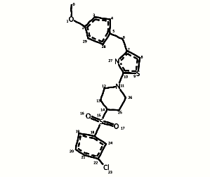 COc1ccc(Cc2csc(N3CCC(S(=O)(=O)c4cccc(Cl)c4)CC3)n2)cc1